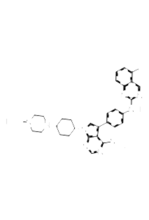 CN1CCN([C@H]2CC[C@@H](n3cc(-c4ccc(Nc5ncc6c(F)cccc6n5)cc4)c4c(N)ncnc43)CC2)CC1